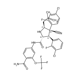 C=C(C)C[C@@H]1N[C@@H](C(=O)Nc2ccc(C(N)=O)c(OC(F)(F)F)c2)[C@H](c2cccc(Cl)c2F)[C@@]1(C#N)c1ccc(Cl)cc1F